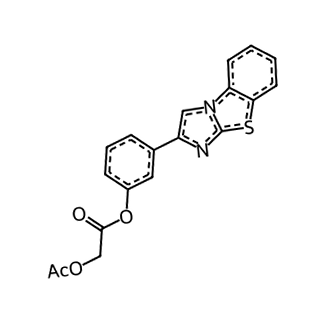 CC(=O)OCC(=O)Oc1cccc(-c2cn3c(n2)sc2ccccc23)c1